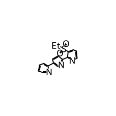 CCS(=O)(=O)c1cccnc1-c1ccc(-c2ccccn2)cn1